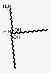 CCCCCCCCCCCCCCC(O)CC(N)(CCCCCCCCCCCN)CC(O)CCCCCCCCCCCCCC